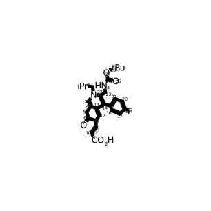 CC(C)CN1C=C2CC(=O)C(/C=C/C(=O)O)C=C2C(c2ccc(F)cc2)=C1CNC(=O)OC(C)(C)C